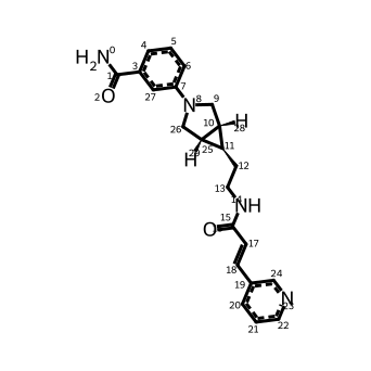 NC(=O)c1cccc(N2C[C@@H]3[C@@H](CCNC(=O)/C=C/c4cccnc4)[C@@H]3C2)c1